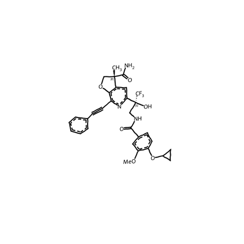 COc1cc(C(=O)NC[C@](O)(c2cc3c(c(C#Cc4ccccc4)n2)OC[C@]3(C)C(N)=O)C(F)(F)F)ccc1OC1CC1